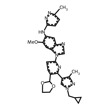 COc1cc2c(cc1Nc1ccc(C)nn1)ncn2-c1ccc(C2OCCO2)c(-c2cn(CC3CC3)nc2C)n1